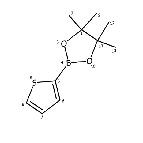 CC1(C)OB(c2cccs2)OC1(C)C